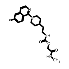 CNC(=O)COC(=O)NCCC1CCN(c2nccc3cc(F)ccc23)CC1